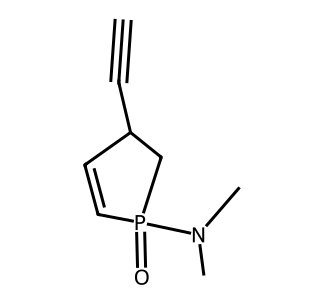 C#CC1C=CP(=O)(N(C)C)C1